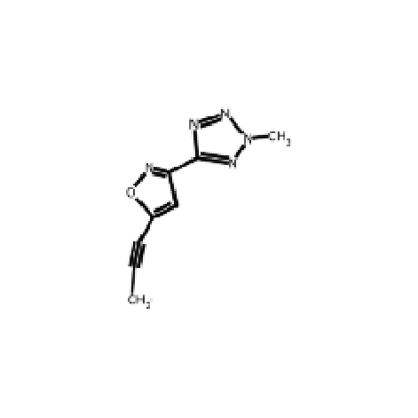 [CH2]C#Cc1cc(-c2nnn(C)n2)no1